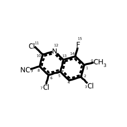 Cc1c(Cl)cc2c(Cl)c(C#N)c(Cl)nc2c1F